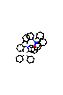 c1ccc(-n2c3ccccc3c3cccc(-n4c5c(-n6c7ccccc7c7ccccc76)cccc5c5cccc([Si](c6ccccc6)(c6ccccc6)c6ccccc6)c54)c32)cc1